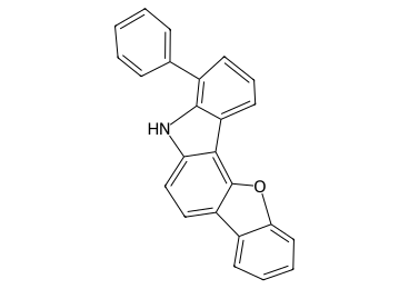 c1ccc(-c2cccc3c2[nH]c2ccc4c5ccccc5oc4c23)cc1